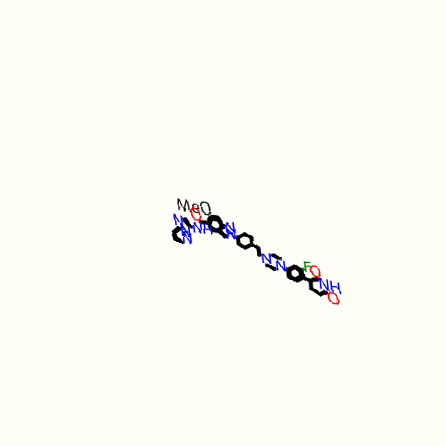 COc1cc2nn(C3CCC(CCN4CCN(c5ccc(C6CCC(=O)NC6=O)c(F)c5)CC4)CC3)cc2cc1C(=O)Nc1cnc2cccnn12